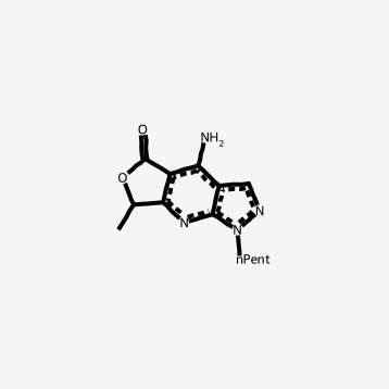 CCCCCn1ncc2c(N)c3c(nc21)C(C)OC3=O